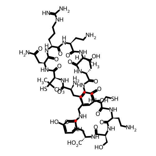 C[C@@H](O)[C@H](NC(=O)[C@H](CCN)NC(=O)[C@H](CCCNC(=N)N)NC(=O)[C@H](CC(N)=O)NC(=O)[C@@H](NC(=O)[C@@H](N)Cc1ccc(O)cc1)C(C)(C)S)C(=O)N[C@H](CCN)C(=O)N[C@@H](CCCNC(N)=O)C(=O)N[C@@H](CS)C(=O)N[C@@H](CCN)C(=O)N[C@@H](CO)C(=O)N[C@@H](Cc1ccc(O)cc1)C(=O)O